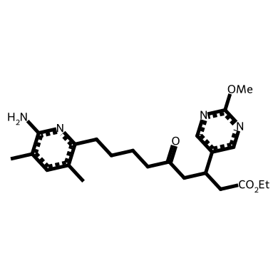 CCOC(=O)CC(CC(=O)CCCCc1nc(N)c(C)cc1C)c1cnc(OC)nc1